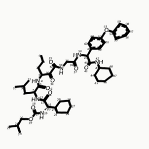 CCCC(NC(=O)C(CC(C)C)NC(=O)[C@@H](NC(=O)OCC(C)C)C1CCCCC1)C(=O)C(=O)NCC(=O)NC(C(=O)NC1CCCCC1)c1ccc(Oc2ccccc2)cc1